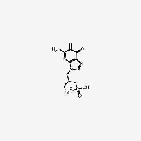 Nc1nc2c(ncn2CC(CO)CP(=O)(O)O)c(=O)[nH]1